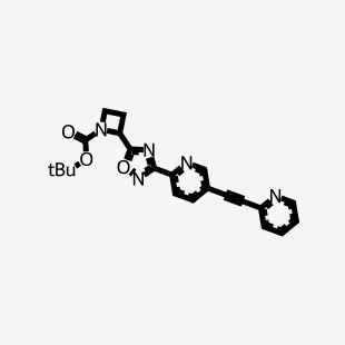 CC(C)(C)OC(=O)N1CCC1c1nc(-c2ccc(C#Cc3ccccn3)cn2)no1